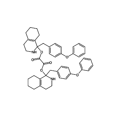 O=C(OC1(Cc2ccc(Oc3ccccc3)cc2)NCCC2=C1CCCC2)C(=O)OC1(Cc2ccc(Oc3ccccc3)cc2)NCCC2=C1CCCC2